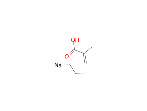 C=C(C)C(=O)O.CC[CH2][Na]